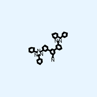 N#Cc1cc(-c2cccc(-c3nc(-c4ccccc4)nc(-c4ccccc4)n3)c2)cc(-c2cccc(-c3nc(-c4ccccc4)c4ccccc4n3)c2)c1